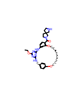 CCOc1nc2nc(n1)Nc1ccc(C(=O)N3CCC4(CCNC4)C3)c(c1)OCCCCCCCCOc1ccc(cc1)CN2